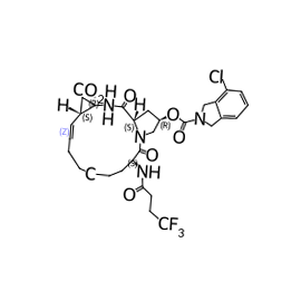 O=C(CCC(F)(F)F)N[C@H]1CCCCC/C=C\[C@@H]2C[C@@]2(C(=O)O)NC(=O)[C@@H]2C[C@@H](OC(=O)N3Cc4cccc(Cl)c4C3)CN2C1=O